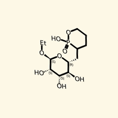 CCO[C@H]1O[C@H](CC2CCCOP2(=O)O)[C@@H](O)[C@H](O)[C@@H]1O